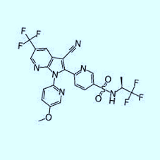 COc1ccc(-n2c(-c3ccc(S(=O)(=O)N[C@@H](C)C(F)(F)F)cn3)c(C#N)c3cc(C(F)(F)F)cnc32)nc1